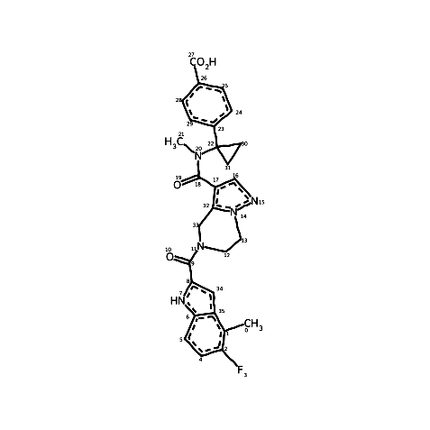 Cc1c(F)ccc2[nH]c(C(=O)N3CCn4ncc(C(=O)N(C)C5(c6ccc(C(=O)O)cc6)CC5)c4C3)cc12